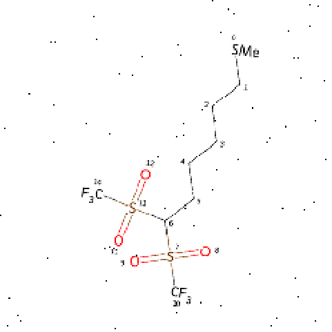 CSCCCCCC(S(=O)(=O)C(F)(F)F)S(=O)(=O)C(F)(F)F